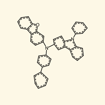 c1ccc(-c2ccc(N(c3ccc4c(c3)oc3ccccc34)c3ccc4c(c3)c3ccccc3n4-c3ccccc3)cc2)cc1